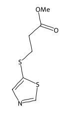 COC(=O)CCSc1cncs1